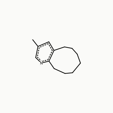 Cc1cnc2c(c1)CCCCCCC2